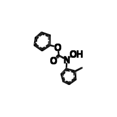 Cc1ccccc1N(O)C(=O)Oc1ccccc1